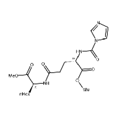 CCCCCC[C@H](NC(=O)CC[C@H](NC(=O)n1ccnc1)C(=O)OC(C)(C)C)C(=O)OC